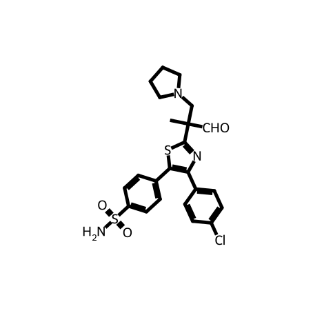 CC(C=O)(CN1CCCC1)c1nc(-c2ccc(Cl)cc2)c(-c2ccc(S(N)(=O)=O)cc2)s1